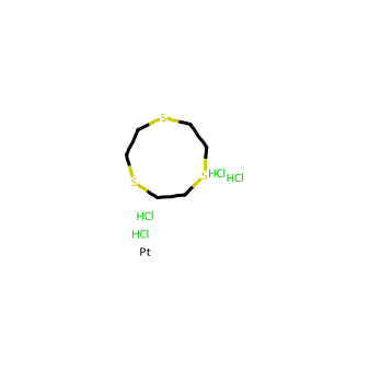 C1CSCCSCCS1.Cl.Cl.Cl.Cl.[Pt]